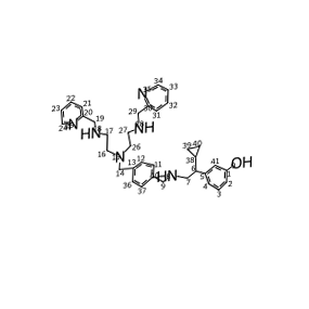 Oc1cccc(C(CNCc2ccc(CN(CCNCc3ccccn3)CCNCc3ccccn3)cc2)C2CC2)c1